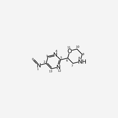 C=Nc1cnc(C2CNCCO2)nc1